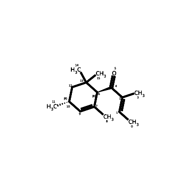 CC=C(C)C(=O)[C@H]1C(C)=C[C@H](C)CC1(C)C